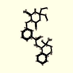 CCC1(CC)CC(=O)N(Cc2cccc(C(=O)N[C@@H]3c4ccccc4OCC3(C)O)c2)C(=N)N1